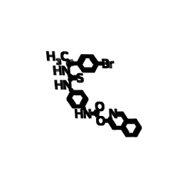 C[C@H](NC(=S)Nc1ccc(NC(=O)Oc2cc3ccccc3cn2)cc1)c1ccc(Br)cc1